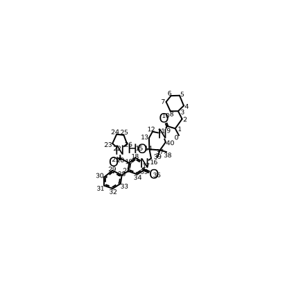 CC(CC1CCCCC1)C(=O)N1CC[C@@](O)(Cn2cc(C(=O)N3CCCC3)c(-c3ccccc3)cc2=O)C(C)(C)C1